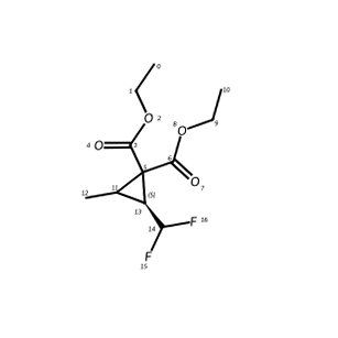 CCOC(=O)C1(C(=O)OCC)C(C)[C@@H]1C(F)F